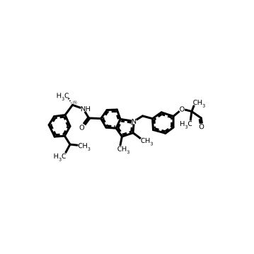 Cc1c(C)n(Cc2cccc(OC(C)(C)C=O)c2)c2ccc(C(=O)N[C@@H](C)c3cccc(C(C)C)c3)cc12